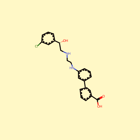 O=C(O)c1cccc(-c2cccc(NCCNC[C@@H](O)c3cccc(Cl)c3)c2)c1